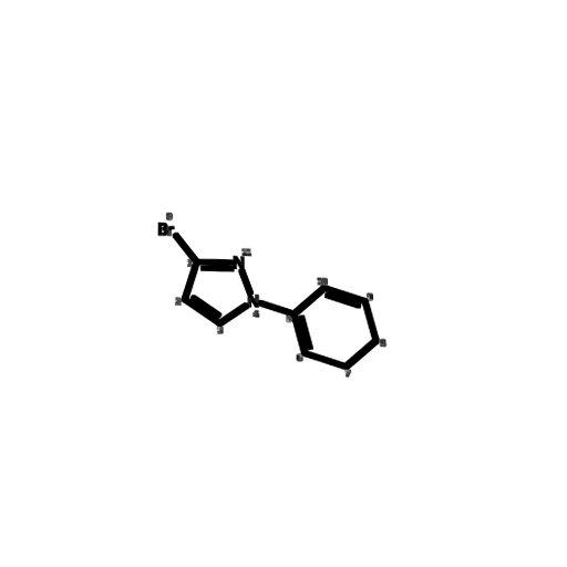 Brc1ccn(C2=CCCC=C2)n1